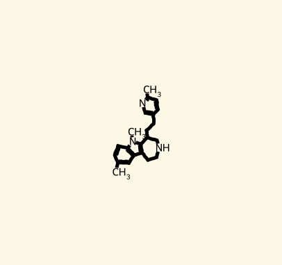 Cc1ccc2c(c1)c1c(n2C)C(CCc2ccc(C)nc2)CNCC1